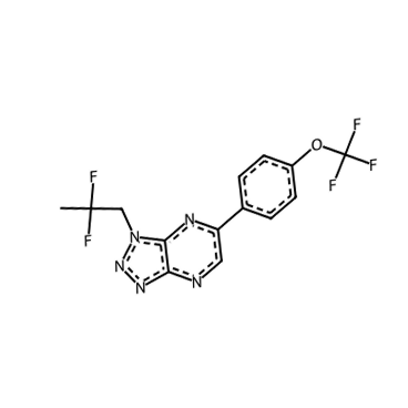 CC(F)(F)Cn1nnc2ncc(-c3ccc(OC(F)(F)F)cc3)nc21